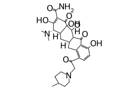 CC1CCN(CC(=O)c2ccc(O)c3c2C[C@H]2C[C@H]4[C@H](N(C)C)C(O)=C(C(N)=O)C(=O)[C@@]4(O)C(O)C2C3=O)CC1